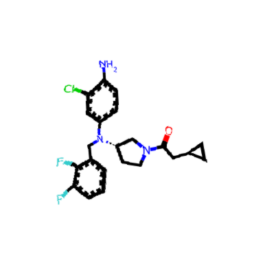 Nc1ccc(N(Cc2cccc(F)c2F)[C@H]2CCN(C(=O)CC3CC3)C2)cc1Cl